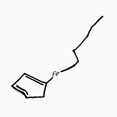 CCCC[CH2][Fe][C]1=CC=CC1